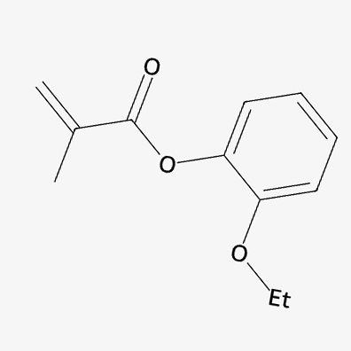 C=C(C)C(=O)Oc1ccccc1OCC